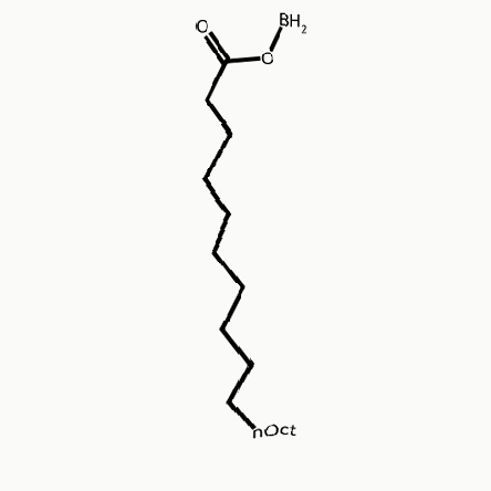 BOC(=O)CCCCCCCCCCCCCCCCC